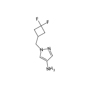 Nc1cnn(CC2CC(F)(F)C2)c1